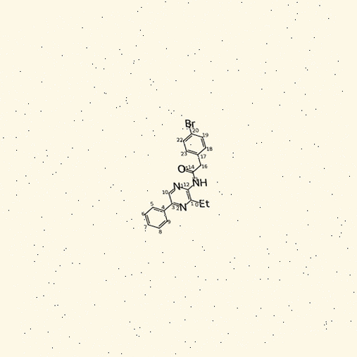 CCc1nc(-c2ccccc2)cnc1NC(=O)Cc1ccc(Br)cc1